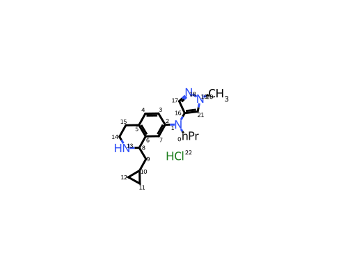 CCCN(c1ccc2c(c1)C(CC1CC1)NCC2)c1cnn(C)c1.Cl